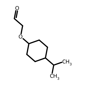 CC(C)C1CCC(OCC=O)CC1